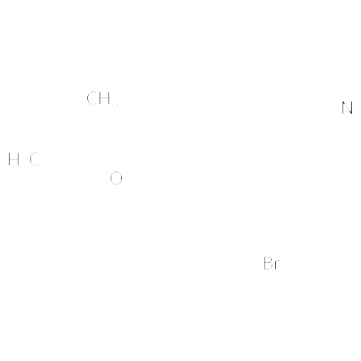 CC(C)Oc1ccc(C#N)c(CBr)c1